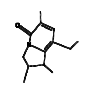 CCc1cc(C)c(=O)n2c1C(C)C(C)C2